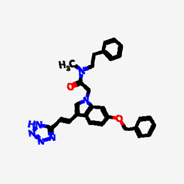 CN(CCc1ccccc1)C(=O)Cn1cc(C=Cc2nnn[nH]2)c2ccc(OCc3ccccc3)cc21